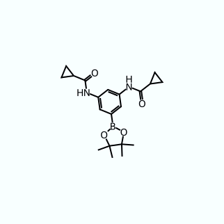 CC1(C)OB(c2cc(NC(=O)C3CC3)cc(NC(=O)C3CC3)c2)OC1(C)C